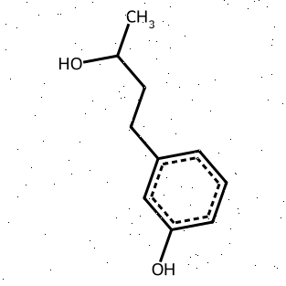 CC(O)CCc1cccc(O)c1